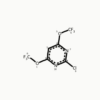 FC(F)(F)Oc1cc(OC(F)(F)F)nc(Cl)n1